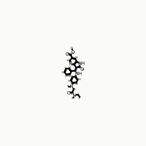 CCN(C)C(=O)CN(C)c1ccc(N/C(=C2\C(=O)Nc3cc(C(=O)OC)cnc32)c2ccccc2)cc1